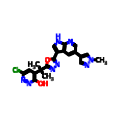 Cn1cc(-c2cnc3[nH]cc(-c4nnc(C(C)(C)c5cc(Cl)nnc5O)o4)c3c2)cn1